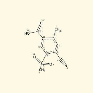 Cc1cc(C#N)c(S(C)(=O)=O)cc1C(=O)O